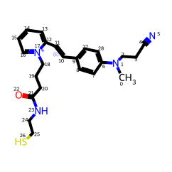 CN(CCC#N)c1ccc(/C=C/c2cccc[n+]2CCCC(=O)NCCS)cc1